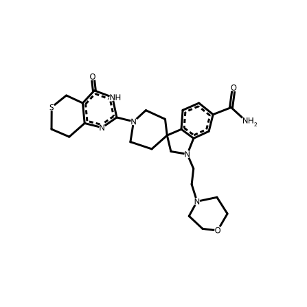 NC(=O)c1ccc2c(c1)N(CCN1CCOCC1)CC21CCN(c2nc3c(c(=O)[nH]2)CSCC3)CC1